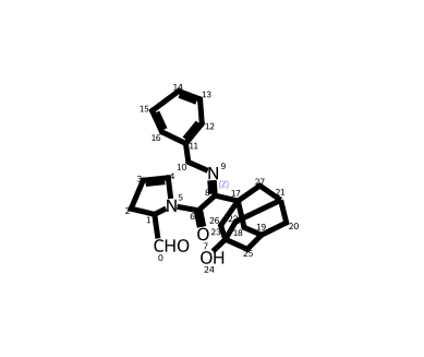 O=CC1CC=CN1C(=O)/C(=N\Cc1ccccc1)C12CC3CC(CC(O)(C3)C1)C2